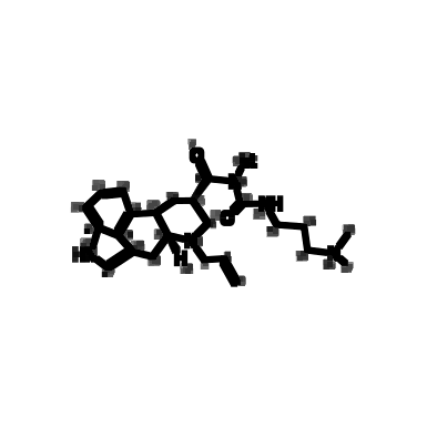 C=CCN1C[C@H](C(=O)N(CC)C(=O)NCCCN(C)C)CC2c3cccc4[nH]cc(c34)C[C@H]21